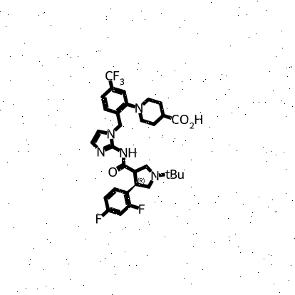 CC(C)(C)N1CC(C(=O)Nc2nccn2Cc2ccc(C(F)(F)F)cc2N2CCC(C(=O)O)CC2)[C@H](c2ccc(F)cc2F)C1